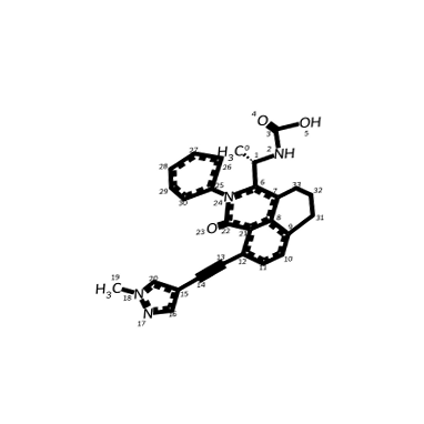 C[C@H](NC(=O)O)c1c2c3c(ccc(C#Cc4cnn(C)c4)c3c(=O)n1-c1ccccc1)CCC2